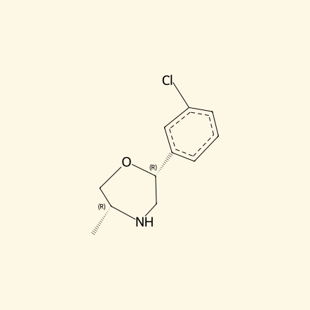 C[C@@H]1CO[C@H](c2cccc(Cl)c2)CN1